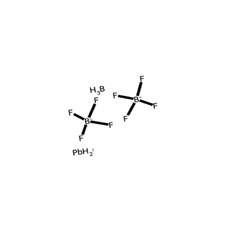 B.F[B-](F)(F)F.F[B-](F)(F)F.[PbH2]